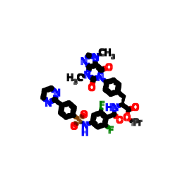 CC(C)OC(=O)[C@H](Cc1ccc(-n2c(=O)c3c(ncn3C)n(C)c2=O)cc1)NC(=O)c1c(F)cc(NS(=O)(=O)c2ccc(-c3ncccn3)cc2)cc1F